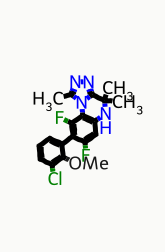 COc1c(Cl)cccc1-c1c(F)cc2c(c1F)-n1c(C)nnc1C(C)(C)N2